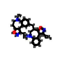 Cc1noc2c1-c1cc(CC3CNc4ccccc4-c4c(C)noc43)ccc1N(C(C)C)CC2